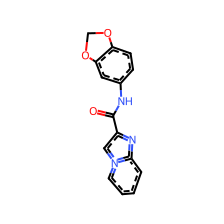 O=C(Nc1ccc2c(c1)OCO2)c1cn2ccccc2n1